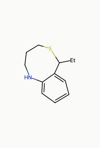 CCC1SCCCNc2ccccc21